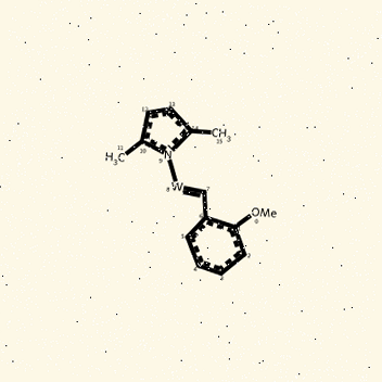 COc1ccccc1[CH]=[W][n]1c(C)ccc1C